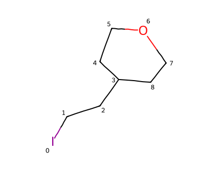 ICCC1CCOCC1